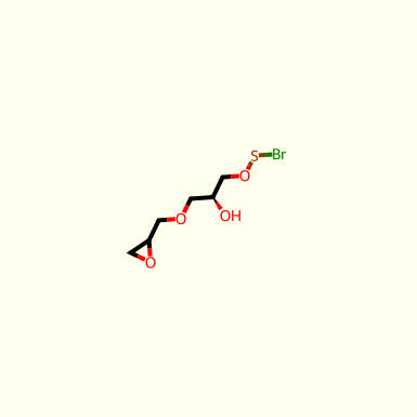 O[C@@H](COCC1CO1)COSBr